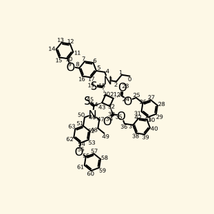 CCCN(Cc1ccc(Oc2ccccc2)cc1)C(=S)[C@@H]1[C@H](C(=O)OCc2ccccc2)[C@@H](C(=O)OCc2ccccc2)[C@H]1C(=S)N(CCC)Cc1ccc(Oc2ccccc2)cc1